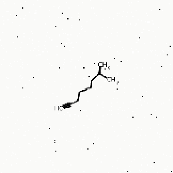 C#CCCCC[C](C)C